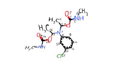 CNC(=O)OC(C)N(c1cccc(Cl)c1)C(C)OC(=O)NC